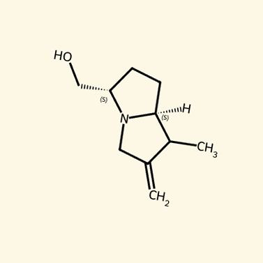 C=C1CN2[C@H](CO)CC[C@H]2C1C